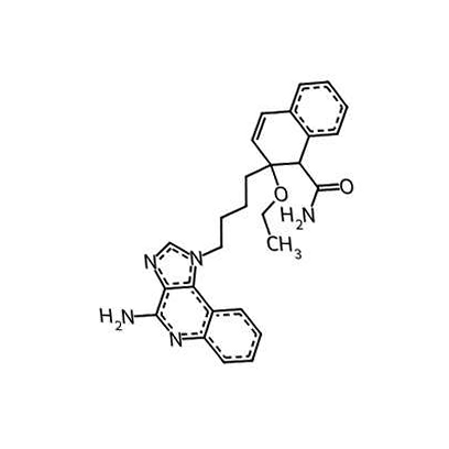 CCOC1(CCCCn2cnc3c(N)nc4ccccc4c32)C=Cc2ccccc2C1C(N)=O